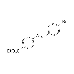 CCOC(=O)c1ccc(/N=C/c2ccc(Br)cc2)cc1